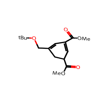 COC(=O)C1=CC(C(=O)OC)CC(COC(C)(C)C)=C1